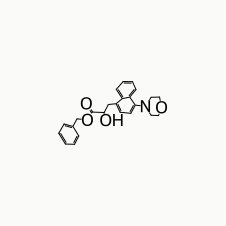 O=C(OCc1ccccc1)[C@H](O)Cc1ccc(N2CCOCC2)c2ccccc12